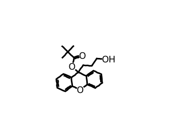 CC(C)(C)C(=O)OC1(CCCO)c2ccccc2Oc2ccccc21